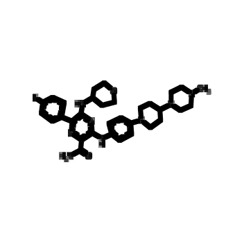 CN1CCN(C2CCN(c3ccc(Nc4nc(NC5CCOCC5)c(-c5ccc(F)cc5)nc4C(N)=O)cc3)CC2)CC1